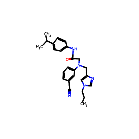 CCCn1cnc(CN(CC(=O)Nc2ccc(C(C)C)cc2)c2cccc(C#N)c2)c1